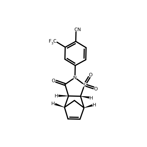 N#Cc1ccc(N2C(=O)[C@@H]3[C@@H]([C@@H]4C=C[C@H]3C4)S2(=O)=O)cc1C(F)(F)F